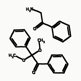 COC(OC)(C(=O)c1ccccc1)c1ccccc1.NCC(=O)c1ccccc1